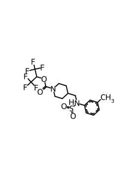 Cc1cccc(N(CC2CCN(C(=O)OC(C(F)(F)F)C(F)(F)F)CC2)[SH](=O)=O)c1